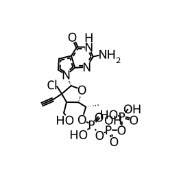 C#CC1(Cl)C(CO)[C@@H]([C@H](C)OP(=O)(O)OP(=O)(O)OP(=O)(O)O)O[C@H]1n1ccc2c(=O)[nH]c(N)nc21